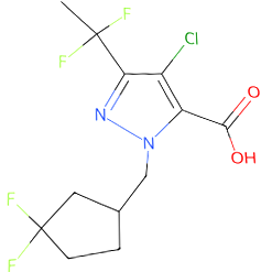 CC(F)(F)c1nn(CC2CCC(F)(F)C2)c(C(=O)O)c1Cl